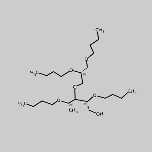 CCCCOC[C@H](COC([C@H](C)OCCCC)[C@@H](CO)OCCCC)OCCCC